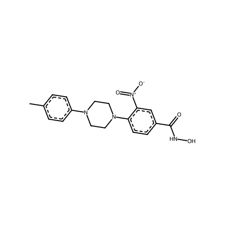 Cc1ccc(N2CCN(c3ccc(C(=O)NO)cc3[N+](=O)[O-])CC2)cc1